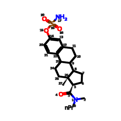 CCCN(C)C(=O)[C@H]1CCC2C3CCc4cc(OS(N)(=O)=O)ccc4C3CC[C@@]21C